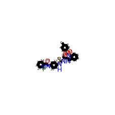 Cc1ccc(S(=O)(=O)n2c(C(C)NC(=S)Nc3ccc(NC(=O)c4ccccc4F)cc3)cc3ccccc32)cc1